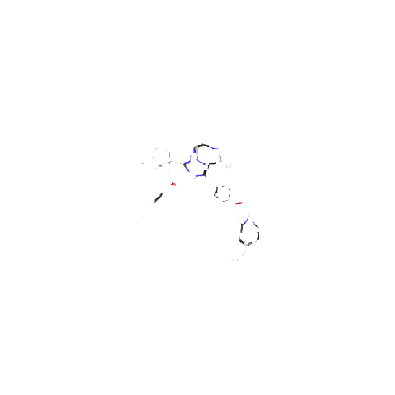 CC#CC(=O)N1C2(c3nc(-c4ccc(C(=O)Nc5cc(C#N)ccn5)cc4)c4c(N)nccn34)CCC3CCC312